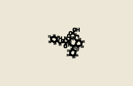 CC(C(=O)O)N1C(=O)C(N)(C(=O)OCc2ccccc2)N=C(c2ccccc2)c2ccccc21